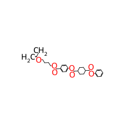 C=CC(=C)OCCCCOC(=O)c1ccc(OC(=O)C2CCC(C(=O)Oc3ccccc3)CC2)cc1